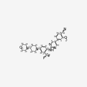 COc1cc(-c2cnc(Nc3ccc(N4CCC(N5CCOCC5)CC4)cc3C(F)F)nc2)ccc1C#N